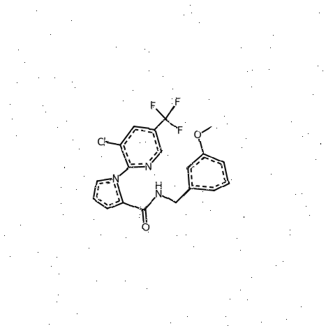 COc1cccc(CNC(=O)c2cccn2-c2ncc(C(F)(F)F)cc2Cl)c1